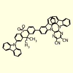 CC1(C)c2cc(-c3ccc4c(c3)c3ccccc3n4-c3nc(C#N)c(C#N)nc3-n3c4ccccc4c4ccccc43)ccc2S(=O)(=O)c2ccc(-n3c4ccccc4c4ccccc43)cc21